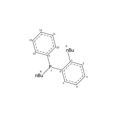 CCCCc1ccccc1P(CCCC)c1ccccc1